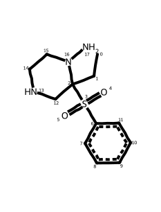 CCC1(S(=O)(=O)c2ccccc2)CNCCN1N